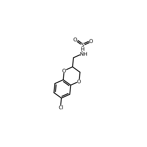 O=[SH](=O)NCC1COc2cc(Cl)ccc2O1